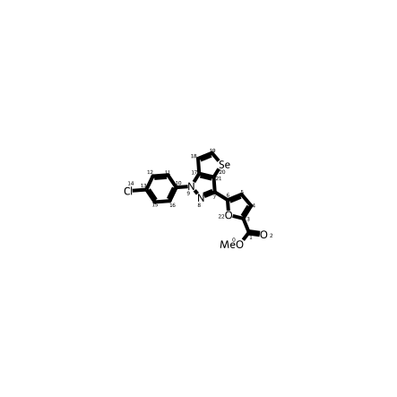 COC(=O)c1ccc(-c2nn(-c3ccc(Cl)cc3)c3cc[se]c23)o1